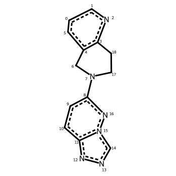 c1cnc2c(c1)CN(c1ccc3nncn3n1)CC2